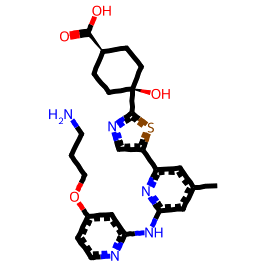 Cc1cc(Nc2cc(OCCCN)ccn2)nc(-c2cnc([C@]3(O)CC[C@@H](C(=O)O)CC3)s2)c1